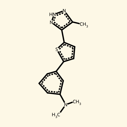 Cc1n[nH]nc1-c1ccc(-c2cccc(N(C)C)c2)s1